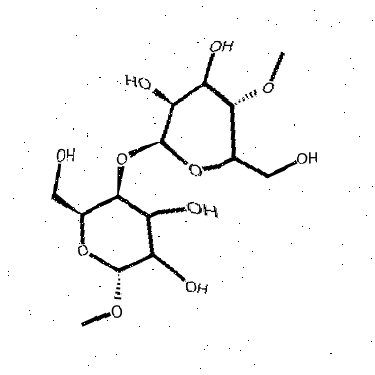 CO[C@@H]1O[C@@H](CO)[C@@H](O[C@@H]2OC(CO)[C@@H](OC)C(O)[C@@H]2O)C(O)C1O